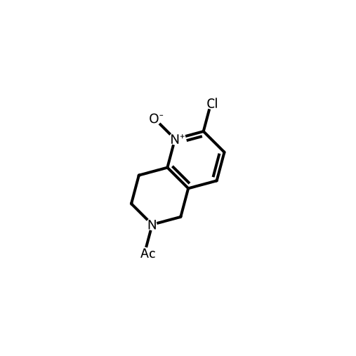 CC(=O)N1CCc2c(ccc(Cl)[n+]2[O-])C1